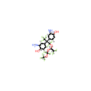 Nc1cc(C(c2ccc(O)c(N)c2)(C(F)(F)F)C(F)(F)OC(OC(F)(F)OC(F)(F)F)=C(F)F)ccc1O